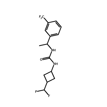 CC(NC(=O)NC1CC(C(F)F)C1)c1cccc(C(F)(F)F)c1